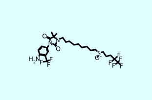 CC1(C)C(=O)N(c2ccc(N)c(C(F)(F)F)c2)C(=O)N1CCCCCCCCC[S+]([O-])CCCC(F)(F)C(F)(F)F